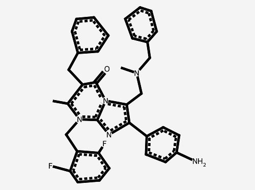 Cc1c(Cc2ccccc2)c(=O)n2c(CN(C)Cc3ccccc3)c(-c3ccc(N)cc3)nc2n1Cc1c(F)cccc1F